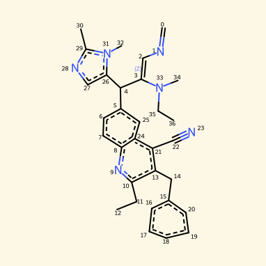 C=N/C=C(/C(c1ccc2nc(CC)c(Cc3ccccc3)c(C#N)c2c1)c1cnc(C)n1C)N(C)CC